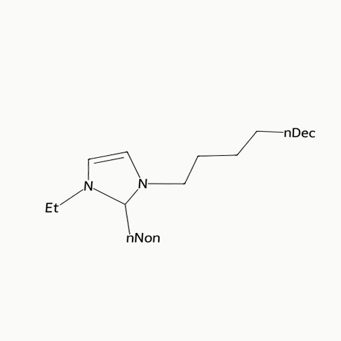 CCCCCCCCCCCCCCN1C=CN(CC)C1CCCCCCCCC